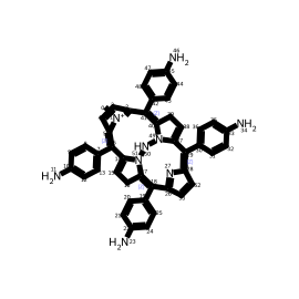 C[N+]1=C2C=C/C1=C(\c1ccc(N)cc1)C1=CC/C3=C(\c4ccc(N)cc4)C4=N/C(=C(/c5ccc(N)cc5)C5=CC/C(=C/2c2ccc(N)cc2)N5NN13)C=C4